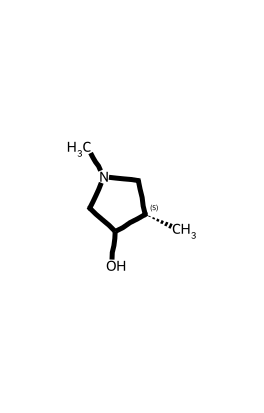 C[C@H]1CN(C)CC1O